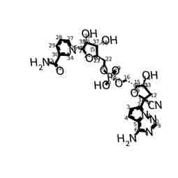 N#C[C@]1(c2ccc3c(N)ncnn23)C[C@H](O)[C@@H](COP(=O)(O)OC[C@H]2O[C@@H]([n+]3cccc(C(N)=O)c3)[C@H](O)[C@@H]2O)O1